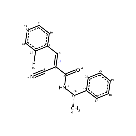 C[C@H](NC(=O)/C(C#N)=C/c1ccncc1F)c1ccccc1